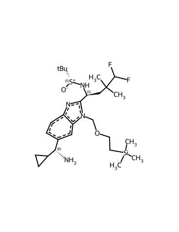 CC(C)(C[C@H](N[S@+]([O-])C(C)(C)C)c1nc2ccc([C@H](N)C3CC3)cc2n1COCC[Si](C)(C)C)C(F)F